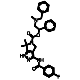 CN(Cc1ccccc1)CC(OC(=O)N1Cc2c(NC(=O)c3ccc(F)cc3)n[nH]c2C1(C)C)c1ccccc1